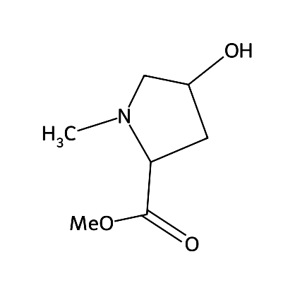 COC(=O)C1CC(O)CN1C